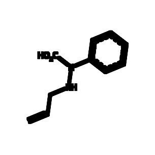 C=CCNN(C(=O)O)c1ccccc1